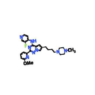 COc1cccc(-c2nc(Nc3ccncc3F)c3cc(CCCCN4CCN(C)CC4)cn3n2)n1